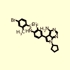 Cc1cc(Br)ccc1[S+]([O-])Nc1ccc(-c2cn(C3CCCC3)c3ncnc(N)c23)cc1F